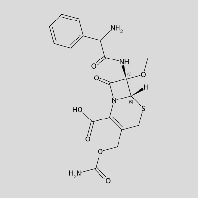 CO[C@@]1(NC(=O)C(N)c2ccccc2)C(=O)N2C(C(=O)O)=C(COC(N)=O)CS[C@H]21